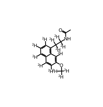 [2H]c1c([2H])c(C([2H])([2H])C([2H])([2H])NC(C)=O)c2c([2H])c(OC([2H])([2H])[2H])c([2H])c([2H])c2c1[2H]